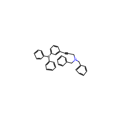 C(#Cc1cccc(B(c2ccccc2)c2ccccc2)c1)CN(Cc1ccccc1)Cc1ccccc1